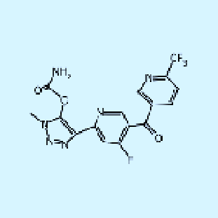 Cn1nnc(-c2cc(F)c(C(=O)c3ccc(C(F)(F)F)nc3)cn2)c1OC(N)=O